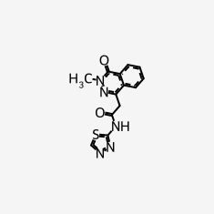 Cn1nc(CC(=O)Nc2nncs2)c2ccccc2c1=O